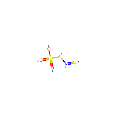 O=S(=O)(O)SN=S